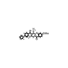 COc1ccc(C(=O)N2C[C@@H](C)N(C(=O)c3ccc(-n4cnnn4)cc3)[C@H](C)C2)c(F)c1